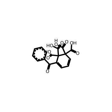 O=C(C1=CC=CC(C(=O)O)(C(=O)O)C1(C(=O)O)C(=O)O)c1ccccc1